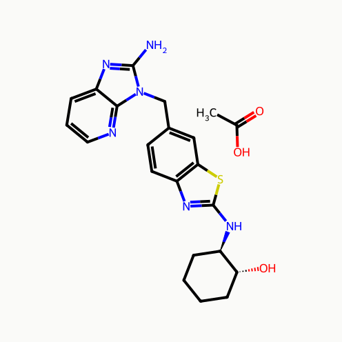 CC(=O)O.Nc1nc2cccnc2n1Cc1ccc2nc(N[C@@H]3CCCC[C@H]3O)sc2c1